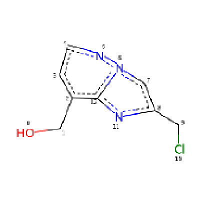 OCc1ccnn2cc(CCl)nc12